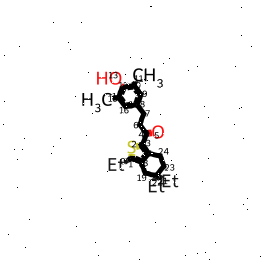 CCc1sc(C(=O)CCc2cc(C)c(O)c(C)c2)c2c1CC(CC)(CC)CC2